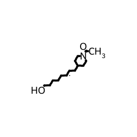 CC(=O)N1CCC(CC[CH]CCCCCO)CC1